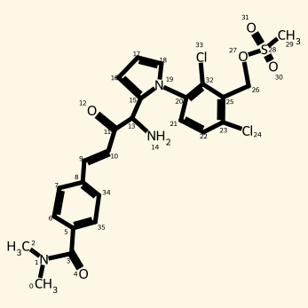 CN(C)C(=O)c1ccc(/C=C/C(=O)C(N)c2cccn2-c2ccc(Cl)c(COS(C)(=O)=O)c2Cl)cc1